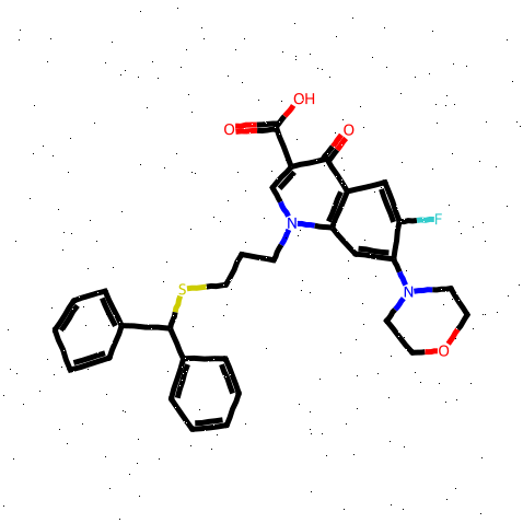 O=C(O)c1cn(CCCSC(c2ccccc2)c2ccccc2)c2cc(N3CCOCC3)c(F)cc2c1=O